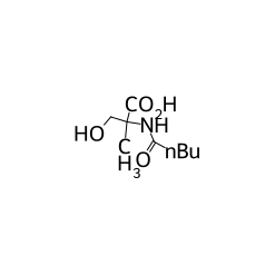 CCCCC(=O)NC(C)(CO)C(=O)O